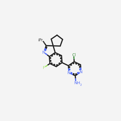 CC(C)C1=Nc2c(F)cc(-c3nc(N)ncc3Cl)cc2C12CCCC2